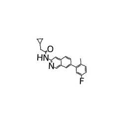 Cc1ccc(F)cc1-c1ccc2cc(NC(=O)CC3CC3)ncc2c1